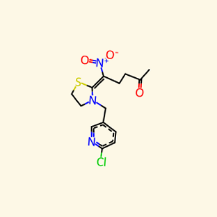 CC(=O)CCC(=C1SCCN1Cc1ccc(Cl)nc1)[N+](=O)[O-]